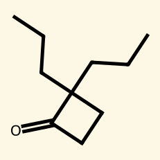 CCCC1(CCC)CCC1=O